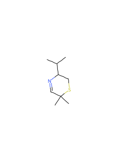 CC(C)C1CSC(C)(C)C=N1